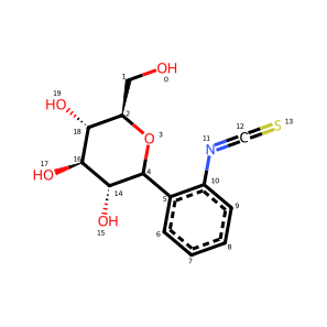 OC[C@H]1OC(c2ccccc2N=C=S)[C@H](O)[C@@H](O)[C@@H]1O